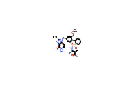 CCCc1nc2c(=O)[nH]ccc2n1Cc1ccc(-c2ccccc2S(=O)(=O)Nc2noc(C)c2C)c(COCC)c1